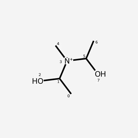 CC(O)[N+](C)C(C)O